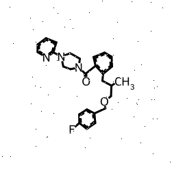 CC(COCc1ccc(F)cc1)Cc1ccccc1C(=O)N1CCN(c2ccccn2)CC1